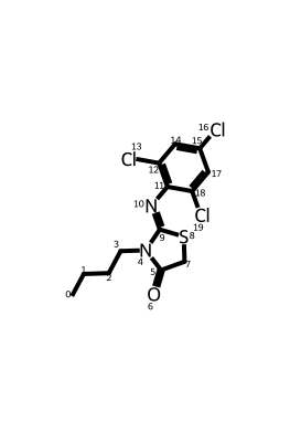 CCCCN1C(=O)CSC1=Nc1c(Cl)cc(Cl)cc1Cl